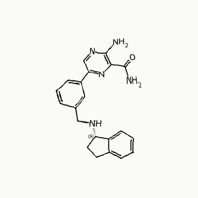 NC(=O)c1nc(-c2cccc(CN[C@H]3CCc4ccccc43)c2)cnc1N